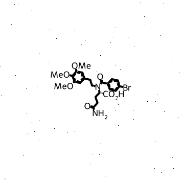 COc1cc(CCN(C(=O)c2ccc(Br)cc2)[C@@H](CCC(N)=O)C(=O)O)cc(OC)c1OC